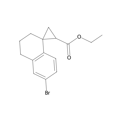 CCOC(=O)C1CC12CCCc1cc(Br)ccc12